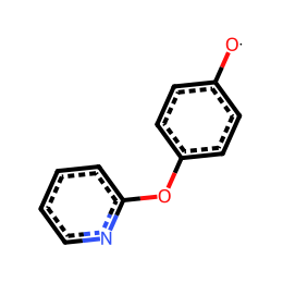 [O]c1ccc(Oc2ccccn2)cc1